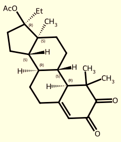 CC[C@@]1(OC(C)=O)CC[C@H]2[C@@H]3CCC4=CC(=O)C(=O)C(C)(C)[C@@H]4[C@H]3CC[C@@]21C